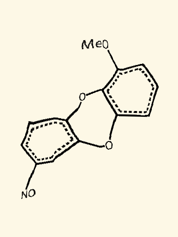 COc1cccc2c1Oc1ccc(N=O)cc1O2